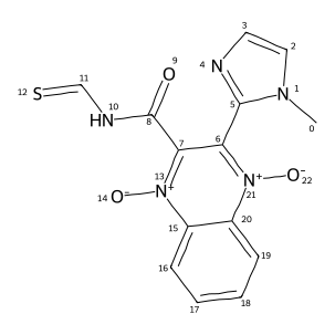 Cn1ccnc1-c1c(C(=O)NC=S)[n+]([O-])c2ccccc2[n+]1[O-]